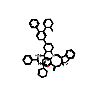 C=C1CC2(I)Sc3ccccc3/C2=C/N(C2CC=C(C3C=C(C4C=CCCC4C)C(c4ccccc4)=CC3)CC2C2NC(C3=CC=CCC3)=NC(C)(C3C=CCCC3)N2)C2=CCCC=C12